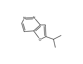 CC(C)c1cc2nnccc2o1